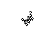 N#Cc1cc(-c2ccccc2)ccc1N(c1ccccc1)c1ccc2ccc3c(N(c4ccccc4)c4ccc(-c5ccccc5)cc4C#N)ccc4ccc1c2c43